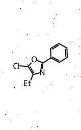 [CH2]Cc1nc(-c2ccccc2)oc1Cl